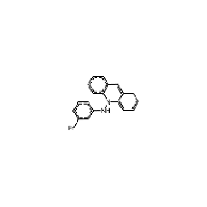 Brc1cccc(NN2C3=CC=CCC3=Cc3ccccc32)c1